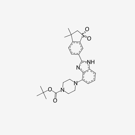 CC(C)(C)OC(=O)N1CCN(c2cccc3[nH]c(-c4ccc5c(c4)S(=O)(=O)CC5(C)C)nc23)CC1